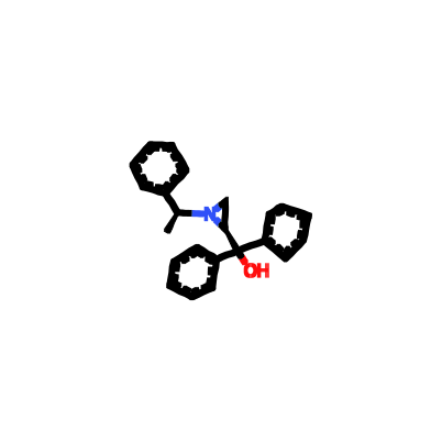 C[C@@H](c1ccccc1)N1C[C@H]1C(O)(c1ccccc1)c1ccccc1